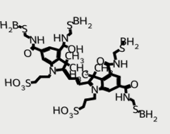 BSCNC(=O)c1cc(C(O)NCSB)c2c(c1)N(CCCS(=O)(=O)O)/C(=C/C=C/C1=[N+](CCCS(=O)(=O)O)c3cc(C(=O)NCSB)cc(C(=O)NCSB)c3C1(C)C)C2(C)C